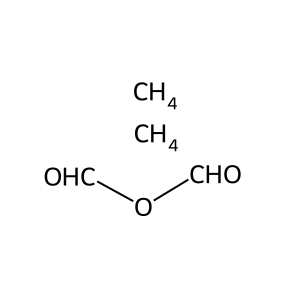 C.C.O=COC=O